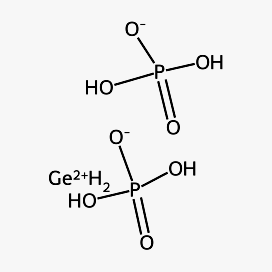 O=P([O-])(O)O.O=P([O-])(O)O.[GeH2+2]